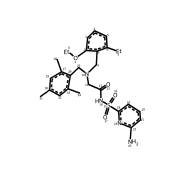 CCOc1cccc(CC)c1CN(CC(=O)NS(=O)(=O)c1cccc(N)n1)Cc1c(C)cc(C)cc1C